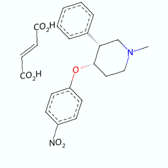 CN1CC[C@H](Oc2ccc([N+](=O)[O-])cc2)[C@H](c2ccccc2)C1.O=C(O)C=CC(=O)O